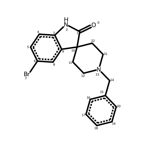 O=C1Nc2ccc(Br)cc2C12CCN(Cc1ccccc1)CC2